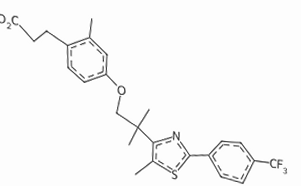 Cc1cc(OCC(C)(C)c2nc(-c3ccc(C(F)(F)F)cc3)sc2C)ccc1CCC(=O)O